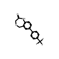 O=C1COCc2cc(-c3ccc(C(F)(F)F)cc3)ccc2N1